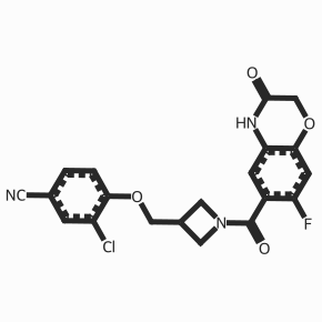 N#Cc1ccc(OCC2CN(C(=O)c3cc4c(cc3F)OCC(=O)N4)C2)c(Cl)c1